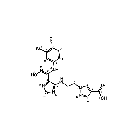 O=C(O)c1cn(CCNc2nonc2C(=NO)Nc2ccc(F)c(Br)c2)nn1